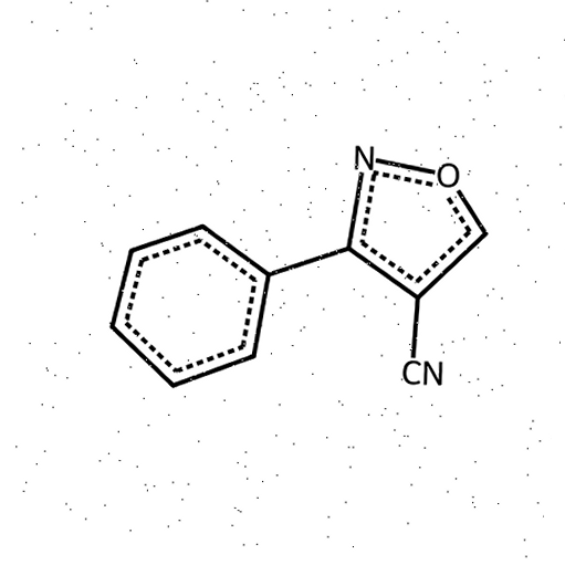 N#Cc1conc1-c1ccccc1